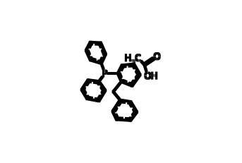 CC(=O)O.c1ccc(Cc2ccccc2P(c2ccccc2)c2ccccc2)cc1